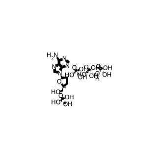 Nc1ncnc2c1ncn2[C@H]1CC[C@@H](CO)O1.O=P(O)(O)O.O=P(O)(O)O.O=P(O)(O)O.O=P(O)(O)O